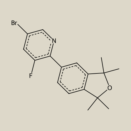 CC1(C)OC(C)(C)c2cc(-c3ncc(Br)cc3F)ccc21